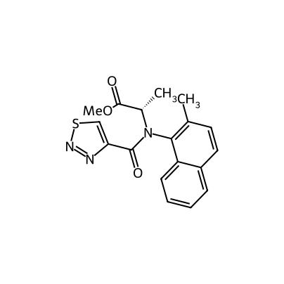 COC(=O)[C@H](C)N(C(=O)c1csnn1)c1c(C)ccc2ccccc12